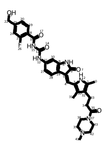 Cc1[nH]c(/C=C2\C(=O)Nc3cc(NC(=O)NC(=O)c4ccc(CO)cc4F)ccc32)c(C)c1CCC(=O)N1CCN(C)CC1